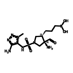 Cn1nnc(N)c1NS(=O)(=O)N1C[C@H](CCCB(O)O)[C@](N)(C=O)C1